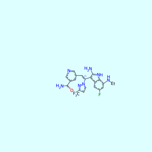 CCNc1cc(F)cc2c(/C(=C/c3cncc(C(N)=O)c3)n3ccc(C(F)(F)F)n3)c(N)[nH]c12